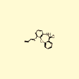 C=CCSc1cccc2c1Oc1ccccc1C(=O)N2